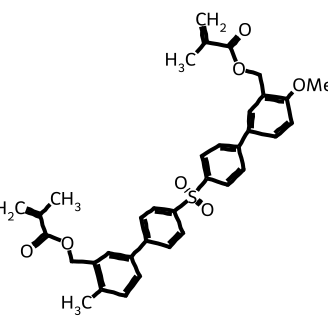 C=C(C)C(=O)OCc1cc(-c2ccc(S(=O)(=O)c3ccc(-c4ccc(OC)c(COC(=O)C(=C)C)c4)cc3)cc2)ccc1C